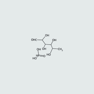 CC(O)C(O)C(O)C(O)C=O.O=[PH](O)O